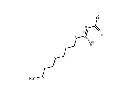 CCCCCCCCC/C(O)=C/C(=O)O